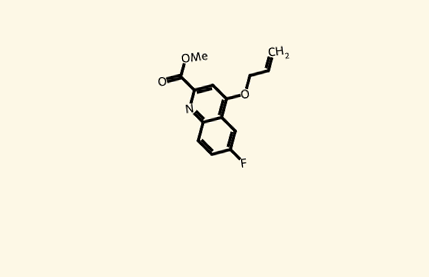 C=CCOc1cc(C(=O)OC)nc2ccc(F)cc12